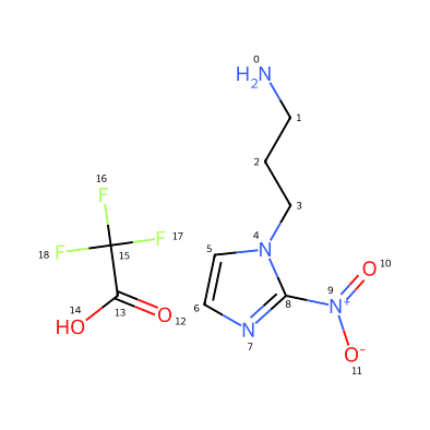 NCCCn1ccnc1[N+](=O)[O-].O=C(O)C(F)(F)F